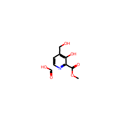 COC(=O)c1nccc(CO)c1O.O=CO